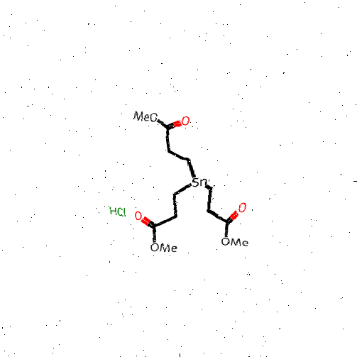 COC(=O)C[CH2][Sn]([CH2]CC(=O)OC)[CH2]CC(=O)OC.Cl